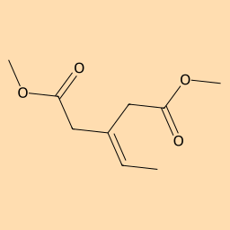 CC=C(CC(=O)OC)CC(=O)OC